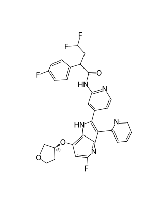 O=C(Nc1cc(-c2[nH]c3c(O[C@H]4CCOC4)cc(F)nc3c2-c2ccccn2)ccn1)C(CC(F)F)c1ccc(F)cc1